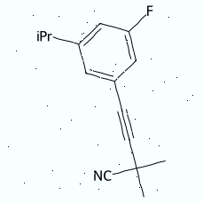 CC(C)c1cc(F)cc(C#CC(C)(C)C#N)c1